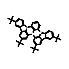 CC(C)(C)c1ccc2c(c1)c1cc(C(C)(C)C)cc3c1n2-c1cccc2c1B3c1cc(C(C)(C)C)cc3c4cc(C(C)(C)C)ccc4n-2c13